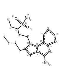 CCCCc1nc2c(N)nc3ccccc3c2n1CCC(CC)S(N)(=O)=O